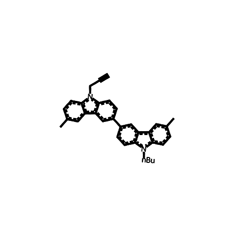 C#CCn1c2ccc(C)cc2c2cc(-c3ccc4c(c3)c3cc(C)ccc3n4CCCC)ccc21